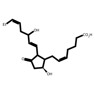 CC/C=C\CC(O)/C=C/C1C(=O)C[C@H](O)C1C/C=C\CCCC(=O)O